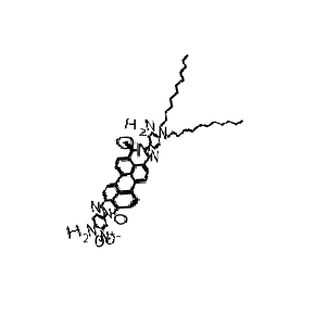 CCCCCCCCCCCCN(CCCCCCCCCCCC)c1cc2nc3c4ccc5c6ccc7c(=O)n8c9cc([N+](=O)[O-])c(N)cc9nc8c8ccc(c9ccc(c(=O)n3c2cc1N)c4c59)c6c78